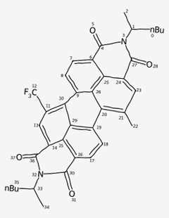 CCCCC(C)N1C(=O)c2ccc3c4c(C(F)(F)F)cc5c6c(ccc(c7c(C)cc(c2c37)C1=O)c64)C(=O)N(C(C)CCCC)C5=O